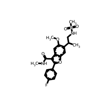 CNC(=O)c1c(-c2ccc(F)cc2)oc2cc(C(C)CNS(C)(=O)=O)c(OC)cc12